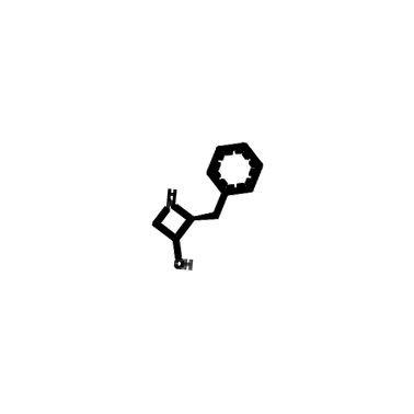 OC1CN[C@H]1Cc1ccccc1